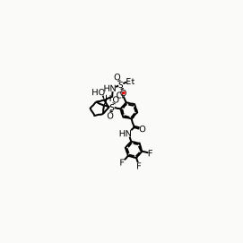 CCS(=O)(=O)NC[C@]1(O)CC2CCC1[C@@H]2S(=O)(=O)c1cc(C(=O)Nc2cc(F)c(F)c(F)c2)ccc1Cl